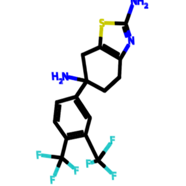 Nc1nc2c(s1)CC(N)(c1ccc(C(F)(F)F)c(C(F)(F)F)c1)CC2